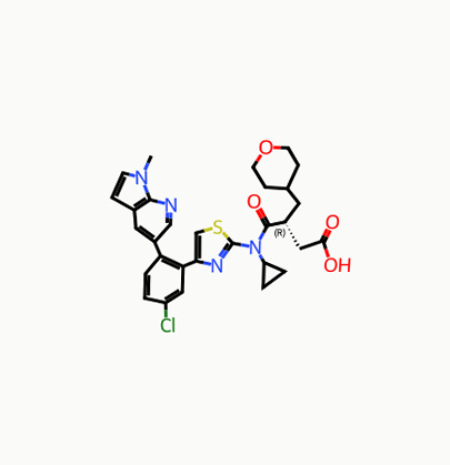 Cn1ccc2cc(-c3ccc(Cl)cc3-c3csc(N(C(=O)[C@@H](CC(=O)O)CC4CCOCC4)C4CC4)n3)cnc21